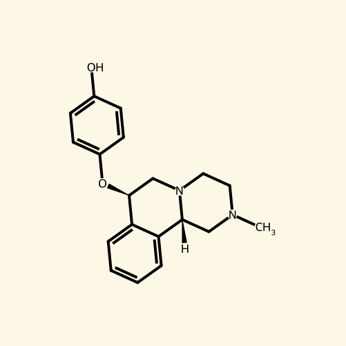 CN1CCN2C[C@H](Oc3ccc(O)cc3)c3ccccc3[C@H]2C1